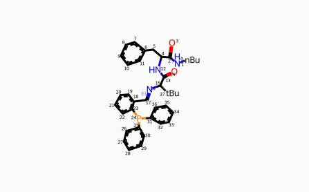 CCCCNC(=O)C(Cc1ccccc1)NC(=O)C(/N=C/c1ccccc1P(c1ccccc1)c1ccccc1)C(C)(C)C